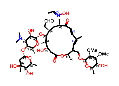 C/C=N/O.CC[C@H]1OC(=O)C[C@@H](O)[C@H](C)[C@@H](O[C@@H]2O[C@H](C)[C@@H](O[C@H]3C[C@@](C)(O)[C@@H](O)[C@H](C)O3)[C@H](N(C)C)[C@H]2O)[C@@H](CC=O)C[C@@H](C)C(=O)/C=C/C(C)=C/C1CO[C@@H]1O[C@H](C)[C@@H](O)[C@@H](OC)[C@H]1OC